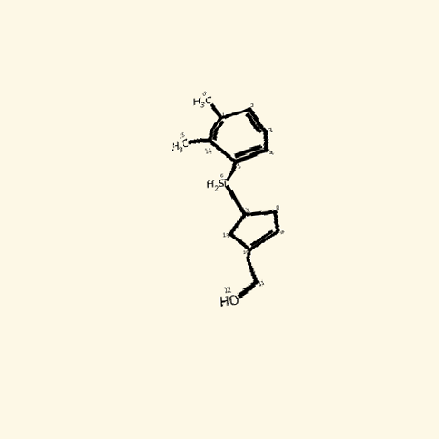 Cc1cccc([SiH2]C2CC=C(CO)C2)c1C